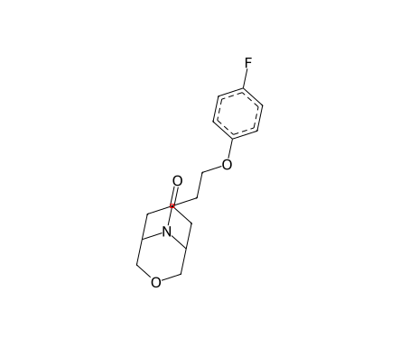 O=C1CC2COCC(C1)N2CCCOc1ccc(F)cc1